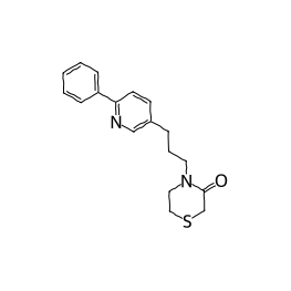 O=C1CSCCN1CCCc1ccc(-c2ccccc2)nc1